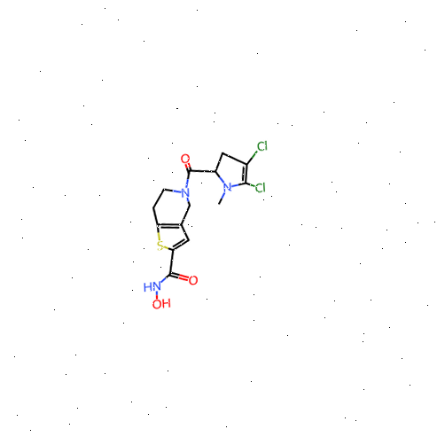 CN1C(Cl)=C(Cl)CC1C(=O)N1CCc2sc(C(=O)NO)cc2C1